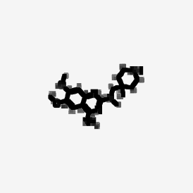 COc1cc2nc(N(C)CC3(C)CCNCC3)nc(N)c2cc1OC